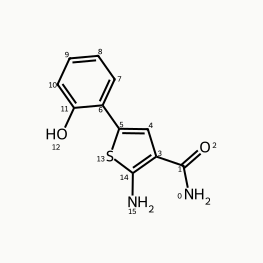 NC(=O)c1cc(-c2ccccc2O)sc1N